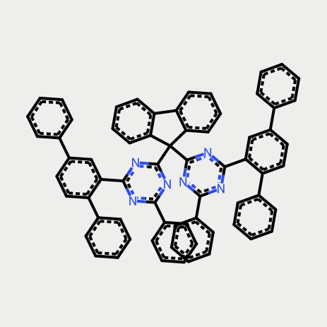 c1ccc(-c2ccc(-c3ccccc3)c(-c3nc(-c4ccccc4)nc(C4(c5nc(-c6ccccc6)nc(-c6cc(-c7ccccc7)ccc6-c6ccccc6)n5)c5ccccc5-c5ccccc54)n3)c2)cc1